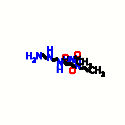 CCCCNC(=O)C(CC(=O)NCCNCCN)NC(C)=O